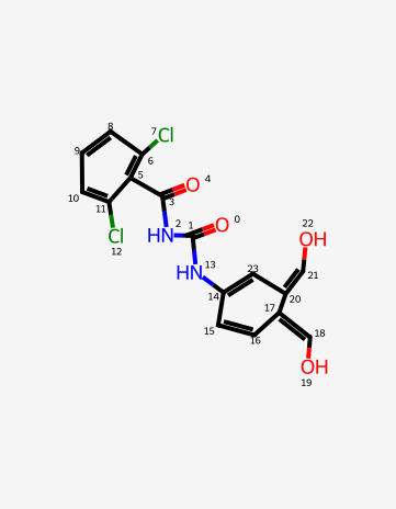 O=C(NC(=O)c1c(Cl)cccc1Cl)Nc1ccc(=CO)c(=CO)c1